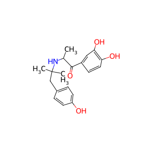 CC(NC(C)(C)Cc1ccc(O)cc1)C(=O)c1ccc(O)c(O)c1